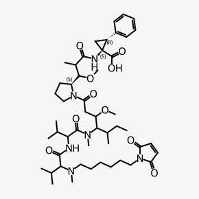 CCC(C)C(C(CC(=O)N1CCC[C@H]1C(OC)C(C)C(=O)N[C@@]1(C(=O)O)C[C@@H]1c1ccccc1)OC)N(C)C(=O)C(NC(=O)C(C(C)C)N(C)CCCCCCN1C(=O)C=CC1=O)C(C)C